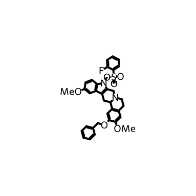 COc1ccc2c(c1)c1c(n2OS(=O)(=O)c2ccccc2F)CN2CCc3cc(OC)c(OCc4ccccc4)cc3C2C1